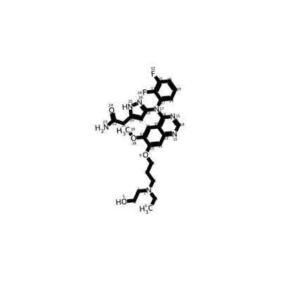 CCN(CCO)CCCOc1cc2ncnc(N(c3cc(CC(N)=O)[nH]n3)c3cccc(F)c3F)c2cc1OC